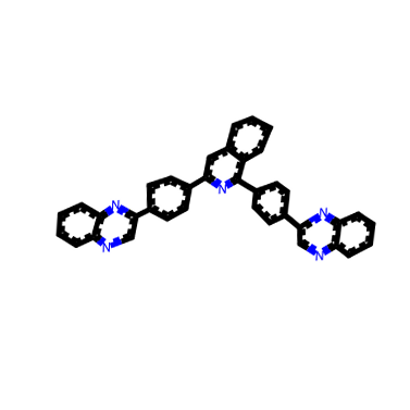 c1ccc2c(-c3ccc(-c4cnc5ccccc5n4)cc3)nc(-c3ccc(-c4cnc5ccccc5n4)cc3)cc2c1